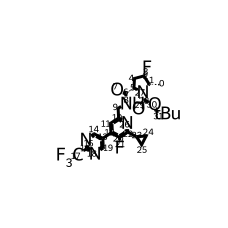 C[C@H]1[C@H](F)C[C@@H](C(=O)NCc2cc(-c3cnc(C(F)(F)F)nc3)c(F)c(C3CC3)n2)N1C(=O)OC(C)(C)C